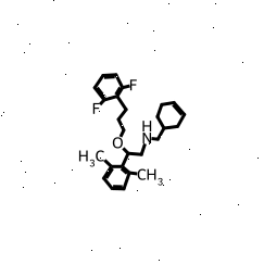 Cc1cccc(C)c1C(CNCC1CC=CCC1)OCCCc1c(F)cccc1F